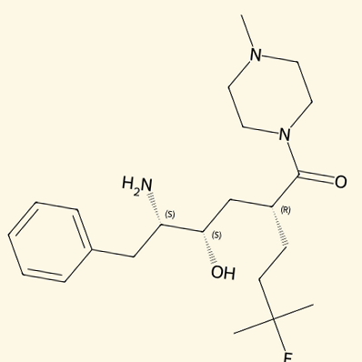 CN1CCN(C(=O)[C@H](CCC(C)(C)F)C[C@H](O)[C@@H](N)Cc2ccccc2)CC1